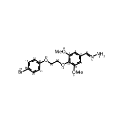 COc1cc(C=NN)cc(OC)c1OCCOc1ccc(Br)cc1